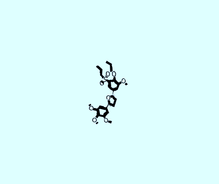 CCCOc1c(OC)cc([C@@H]2CC[C@@H](c3cc(OC)c(OC)c(OC)c3)O2)cc1S(=O)(=O)CCC